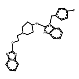 Fc1ccc(Cn2c(NC3CCN(CCOc4nc5ccccc5s4)CC3)nc3ccccc32)cc1